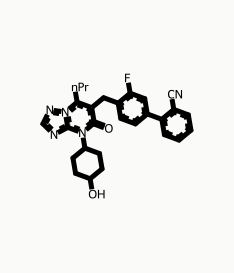 CCCc1c(Cc2ccc(-c3ccccc3C#N)cc2F)c(=O)n(C2CCC(O)CC2)c2ncnn12